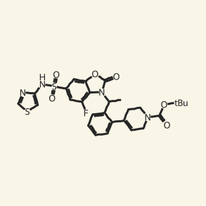 CC(c1ccccc1C1=CCN(C(=O)OC(C)(C)C)CC1)n1c(=O)oc2cc(S(=O)(=O)Nc3cscn3)cc(F)c21